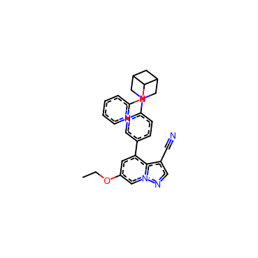 CCOc1cc(-c2ccc(N3CC4CC(C3)C4Oc3ccccn3)nc2)c2c(C#N)cnn2c1